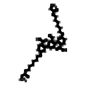 C=CC(=O)OCCCCCCOc1ccc(C(=O)O)c(-c2ccc(-c3cc(OCCCCCCOC(=O)C=C)ccc3C(=O)O)c(C=O)c2)c1